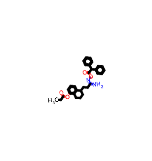 CCC(=O)Oc1cccc2c1CCCC2CCC(N)=NOC(=O)C(c1ccccc1)c1ccccc1